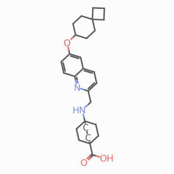 O=C(O)C12CCC(NCc3ccc4cc(OC5CCC6(CCC6)CC5)ccc4n3)(CC1)CC2